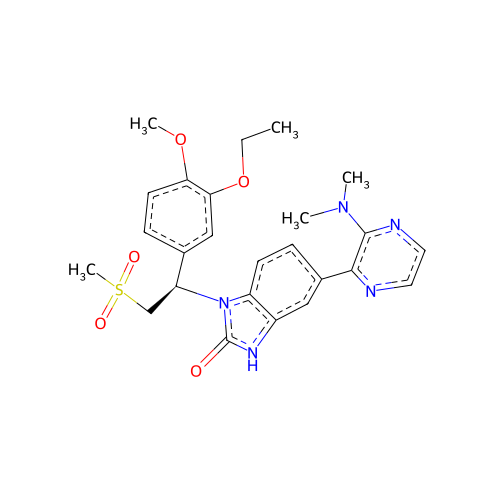 CCOc1cc([C@H](CS(C)(=O)=O)n2c(=O)[nH]c3cc(-c4nccnc4N(C)C)ccc32)ccc1OC